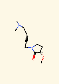 CO[C@H]1CCN(CC#CCN(C)C)C1=O